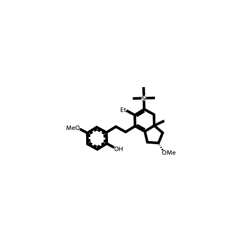 CCC1=C([Si](C)(C)C)CC2(C)C[C@H](OC)CC2=C1CCc1cc(OC)ccc1O